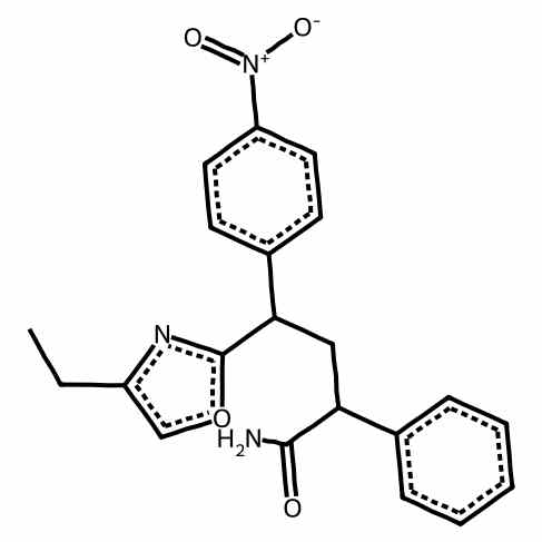 CCc1coc(C(CC(C(N)=O)c2ccccc2)c2ccc([N+](=O)[O-])cc2)n1